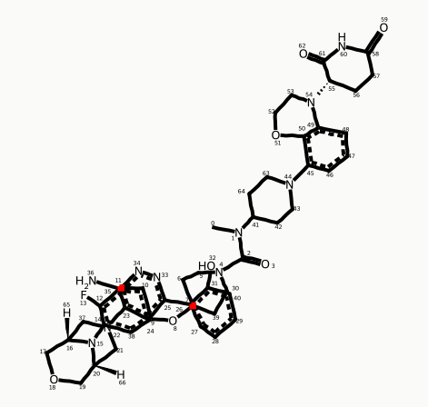 CN(C(=O)N1CCC(Oc2ccc(F)c(N3[C@@H]4COC[C@H]3CN(c3cc(-c5ccccc5O)nnc3N)C4)c2)CC1)C1CCN(c2cccc3c2OCCN3[C@H]2CCC(=O)NC2=O)CC1